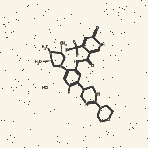 C[C@@H]1CN(c2cc(F)c(C3CN=C(N4CCOCC4)NC3)cc2NC(=O)c2c[nH]c(=O)cc2C(F)(F)F)C[C@H](C)N1C.Cl